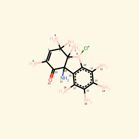 BC1=CC(B)(B)C2(B)B(Cl)c3c(B)c(B)c(B)c(B)c3C2(N)C1=O